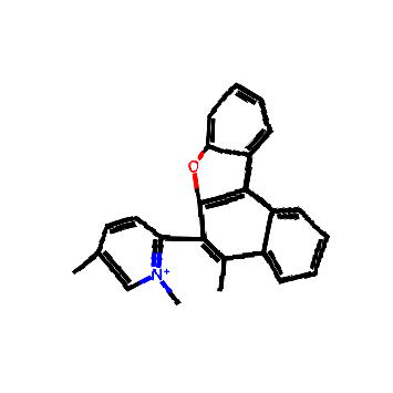 Cc1ccc(-c2c(C)c3ccccc3c3c2oc2ccccc23)[n+](C)c1